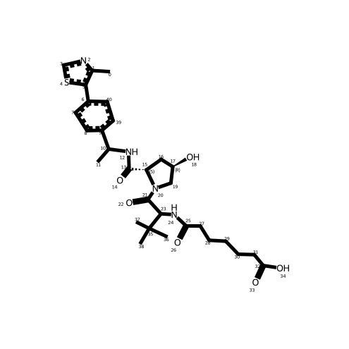 Cc1ncsc1-c1ccc(C(C)NC(=O)[C@@H]2C[C@@H](O)CN2C(=O)C(NC(=O)CCCCCC(=O)O)C(C)(C)C)cc1